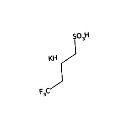 O=S(=O)(O)CCCC(F)(F)F.[KH]